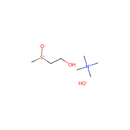 C[N+](C)(C)C.C[S+]([O-])CCO.[OH-]